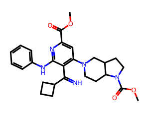 COC(=O)c1cc(N2CCC3C(CCN3C(=O)OC)C2)c(C(=N)C2CCC2)c(Nc2ccccc2)n1